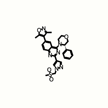 Cc1noc(C)c1-c1ccc2nc(-c3cnn(CS(C)(=O)=O)c3)nc(N3CCOC[C@@H]3c3ccccc3)c2c1